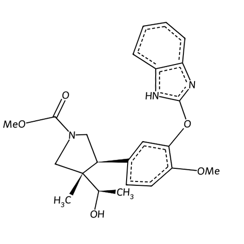 COC(=O)N1C[C@@H](c2ccc(OC)c(Oc3nc4ccccc4[nH]3)c2)[C@](C)([C@@H](C)O)C1